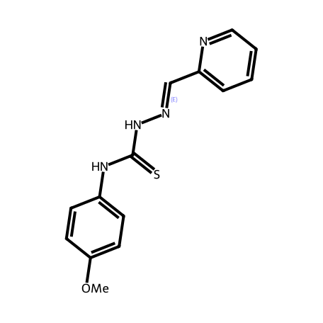 COc1ccc(NC(=S)N/N=C/c2ccccn2)cc1